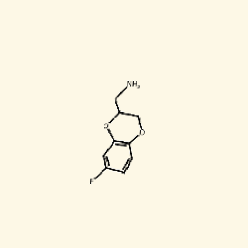 NCC1COc2ccc(F)cc2O1